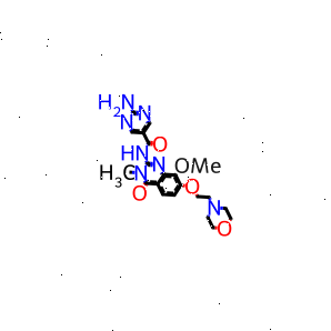 COc1c(OCCN2CCOCC2)ccc2c(=O)n(C)c(NC(=O)c3cnc(N)nc3)nc12